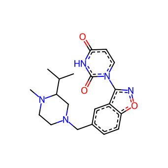 CC(C)C1CN(Cc2ccc3onc(-n4ccc(=O)[nH]c4=O)c3c2)CCN1C